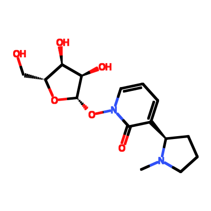 CN1CCC[C@@H]1c1cccn(O[C@@H]2O[C@H](CO)[C@@H](O)[C@H]2O)c1=O